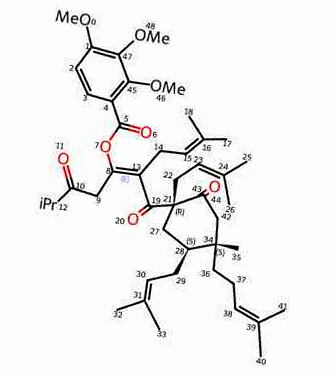 COc1ccc(C(=O)O/C(CC(=O)C(C)C)=C(\CC=C(C)C)C(=O)[C@@]2(CC=C(C)C)C[C@H](CC=C(C)C)[C@@](C)(CCC=C(C)C)CC2=O)c(OC)c1OC